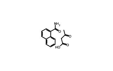 CC(=O)CC(=O)O.NC(=O)c1cccc2ccccc12